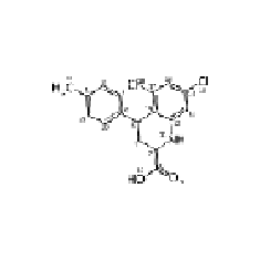 Cc1ccc(C2CC(C(=O)O)Nc3cc(Cl)cc(Cl)c32)cc1